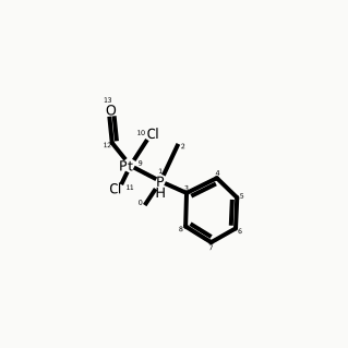 C[PH](C)(c1ccccc1)[Pt]([Cl])([Cl])[CH]=O